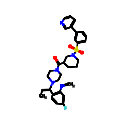 C=Nc1cc(F)ccc1/C(=C\C)N1CCN(C(=O)C2CCCN(S(=O)(=O)c3cccc(-c4cccnc4)c3)C2)CC1